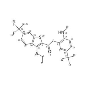 CCSc1c(C(=O)Cc2cc(C(C)(C)C)ccc2NC)sc2cc(C(F)(F)F)ccc12